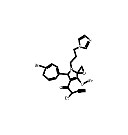 C#CC(CC)C(=O)C1=C(OC(C)C)C2(CO2)N(CCCn2ccnc2)C1C1=CC=C(Br)CC=C1